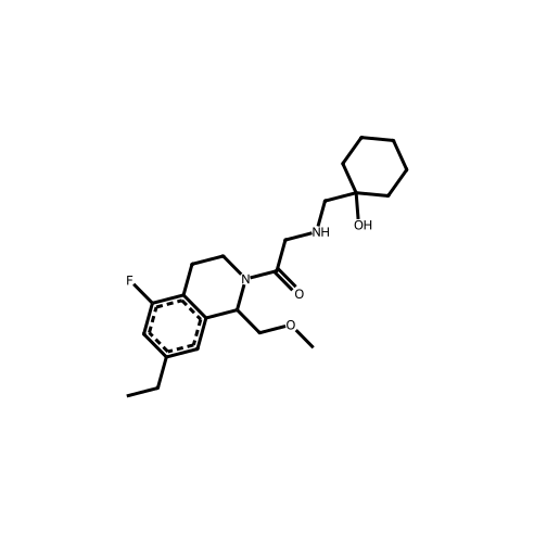 CCc1cc(F)c2c(c1)C(COC)N(C(=O)CNCC1(O)CCCCC1)CC2